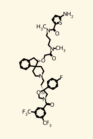 CN(CCCN(C)C(=O)c1ccc(N)s1)C(=O)CO[C@H]1Cc2ccccc2C12CCN(CC[C@]1(c3ccc(F)cc3)CN(C(=O)c3cc(C(F)(F)F)cc(C(F)(F)F)c3)CO1)CC2